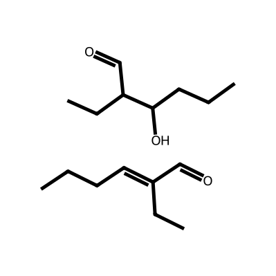 CCC/C=C(/C=O)CC.CCCC(O)C(C=O)CC